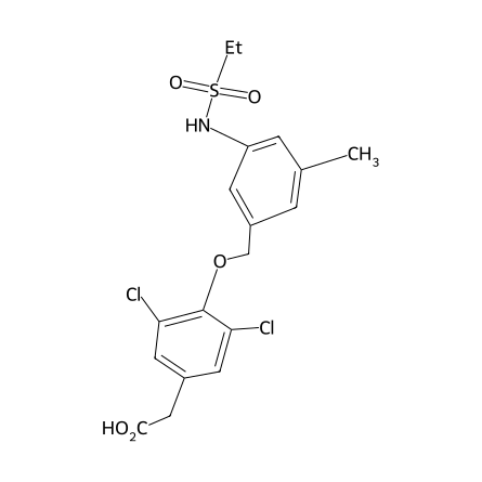 CCS(=O)(=O)Nc1cc(C)cc(COc2c(Cl)cc(CC(=O)O)cc2Cl)c1